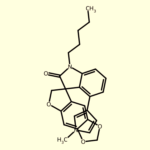 CCCCCN1C(=O)C2(COc3cc4c(cc32)OCO4)c2c(-c3ccn(C)c3)cccc21